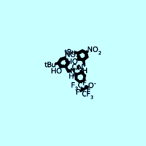 CC(C)(C)c1cc([N+](=O)[O-])cc(C=[N+]2[Co][N+](=Cc3cc([N+](=O)[O-])cc(C(C)(C)C)c3O)[C@@H]3CCCC[C@H]32)c1O.[O-]C(F)(F)C(F)(C(F)(F)F)C(F)(F)F